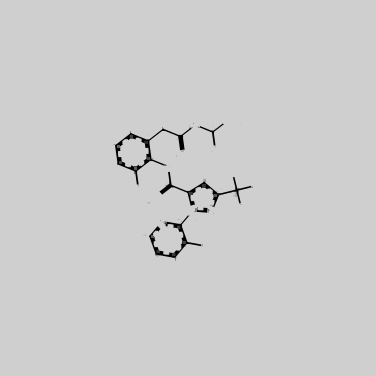 Cc1cccc(CC(=O)NC(C)C)c1NC(=O)c1cc(C(F)(F)F)nn1-c1ncccc1Cl